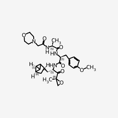 COc1ccc(C[C@H](NC(=O)[C@H](C)NC(=O)CN2CCOCC2)C(=O)N[C@@H](C[C@H]2C[C@@H]3C4C2[C@@H]43)C(=O)[C@@]2(C)CO2)cc1